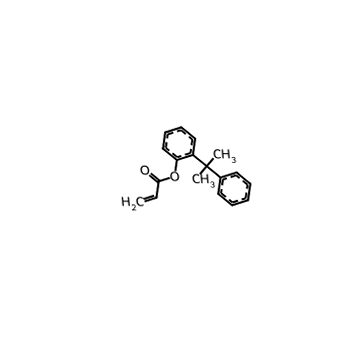 C=CC(=O)Oc1ccccc1C(C)(C)c1ccccc1